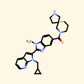 Cn1c(-c2cc3cccnc3n2CC2CC2)nc2cc(C(=O)N3CCC[C@@]4(CCNC4)C3)ccc21